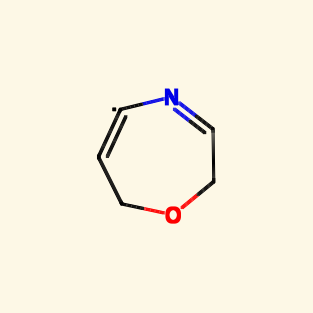 [C]1=CCOCC=N1